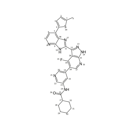 Cc1ccc(-c2ccnc3[nH]c(-c4n[nH]c5ncc(-c6cncc(NC(=O)C7CCCCC7)c6)c(F)c45)nc23)s1